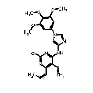 C=Nc1c(/C=C\C)nc(Cl)nc1Nc1cn(-c2cc(OC)c(OC)c(OC)c2)cn1